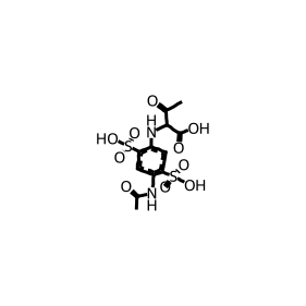 CC(=O)Nc1cc(S(=O)(=O)O)c(NC(C(C)=O)C(=O)O)cc1S(=O)(=O)O